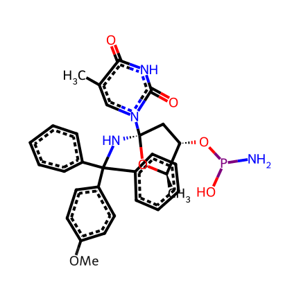 COc1ccc(C(N[C@]2(n3cc(C)c(=O)[nH]c3=O)C[C@H](OP(N)O)[C@@H](C)O2)(c2ccccc2)c2ccccc2)cc1